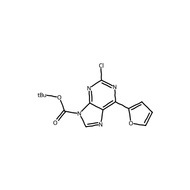 CC(C)(C)OC(=O)n1cnc2c(-c3ccco3)nc(Cl)nc21